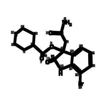 NC(=O)CC1(OC(=O)C2CCSCC2)C(=O)Nc2c(Br)cccc21